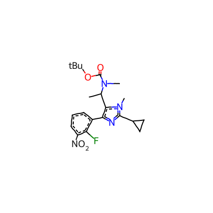 CC(c1c(-c2cccc([N+](=O)[O-])c2F)nc(C2CC2)n1C)N(C)C(=O)OC(C)(C)C